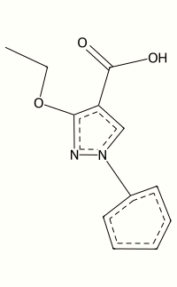 CCOc1nn(-c2ccccc2)cc1C(=O)O